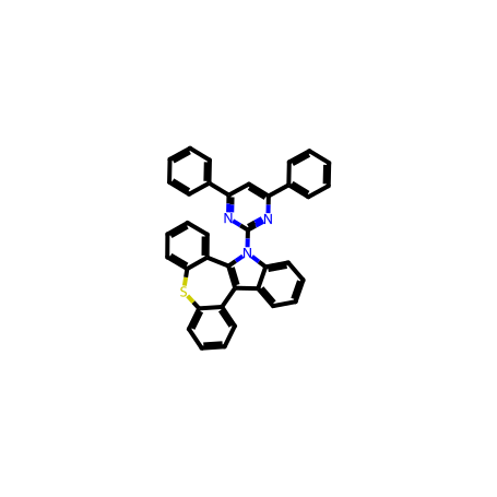 c1ccc(-c2cc(-c3ccccc3)nc(-n3c4c(c5ccccc53)-c3ccccc3Sc3ccccc3-4)n2)cc1